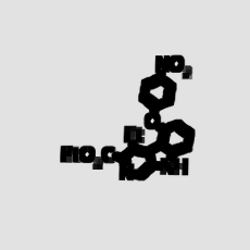 CCOC(=O)c1ncc2[nH]c3cccc(Oc4ccc([N+](=O)[O-])cc4)c3c2c1CC